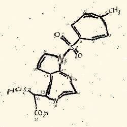 Cc1ccc(S(=O)(=O)n2ccc3c(C(C(=O)O)C(=O)O)ncnc32)cc1